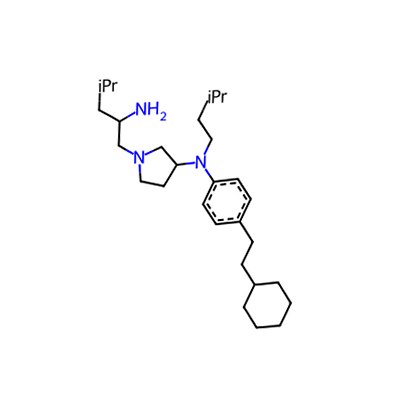 CC(C)CCN(c1ccc(CCC2CCCCC2)cc1)C1CCN(CC(N)CC(C)C)C1